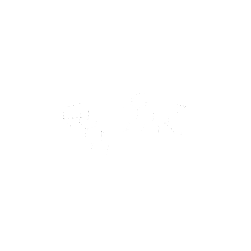 CSCC[C@H](NC(=O)c1ccc(CCNC(=S)N(CC2CCCCC2)C23CC4CC(CC(C4)C2)C3)cc1-c1ccccc1C)C(=O)O